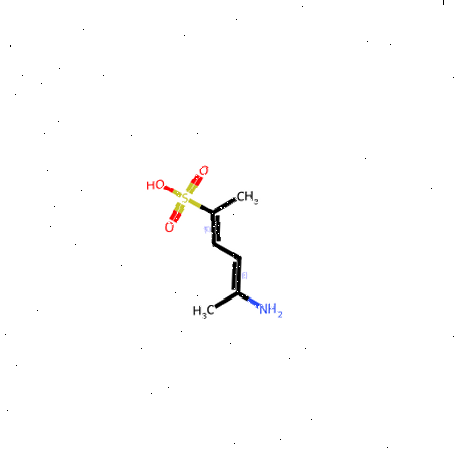 C/C(N)=C\C=C(/C)S(=O)(=O)O